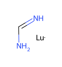 N=CN.[Lu]